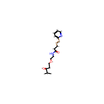 CC(C)C(=O)CCOCCNC(=O)CCSSc1ccccn1